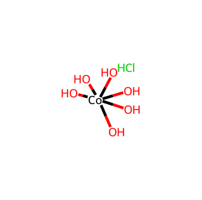 Cl.[OH][Co]([OH])([OH])([OH])([OH])[OH]